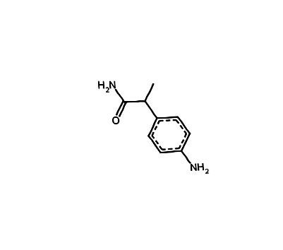 CC(C(N)=O)c1ccc(N)cc1